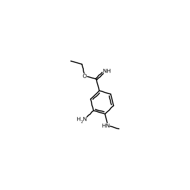 CCOC(=N)c1ccc(NC)c(N)c1